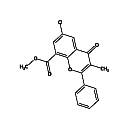 COC(=O)c1cc(Cl)cc2c(=O)c(C)c(-c3ccccc3)oc12